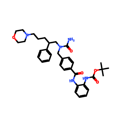 CC(C)(C)OC(=O)Nc1ccccc1NC(=O)c1ccc(CN(CC(CCCN2CCOCC2)c2ccccc2)C(N)=O)cc1